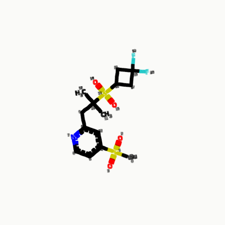 CC(C)(C)S(=O)(=O)c1ccnc(CC(C)(C)S(=O)(=O)C2CC(F)(F)C2)c1